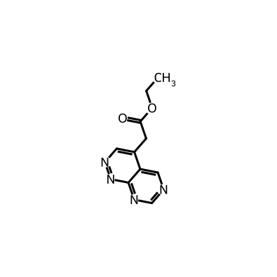 CCOC(=O)Cc1cnnc2ncncc12